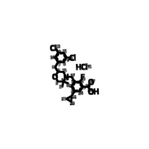 CC1(C)COC(Cc2cc(Cl)cc(Cl)c2)CN1Cc1cc(C2CC2)cc(C(=O)O)c1F.Cl